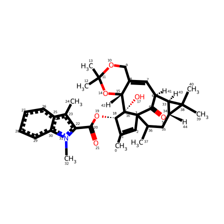 CC1=CC23C(=O)[C@@H](C=C4COC(C)(C)O[C@H]4[C@]2(O)[C@H]1OC(=O)c1c(C)c2ccccc2n1C)[C@@H]1[C@@H](CC3C)C1(C)C